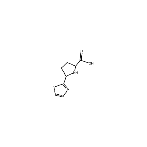 O=C(O)C1CCC(c2nccs2)N1